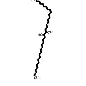 CCCCCCCC/C=C\CCCCCCCC(O)C(O)CCCCCCCCCCCCCCCCC